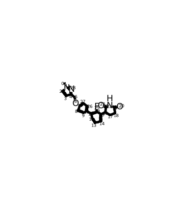 Cn1ccc(COc2ccc(-c3cccc(C4CCC(=O)NC4=O)c3F)cc2)n1